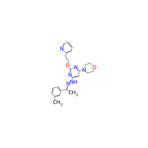 C/C(=N\Nc1cc(N2CCOCC2)nc(OCCc2ccccn2)n1)c1cccc(C)c1